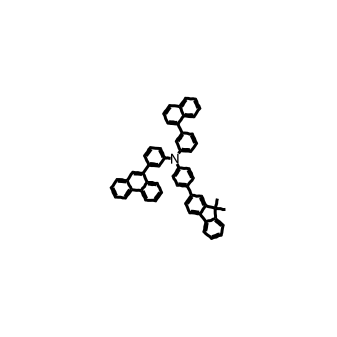 CC1(C)c2ccccc2-c2ccc(-c3ccc(N(c4cccc(-c5cccc6ccccc56)c4)c4cccc(-c5cc6ccccc6c6ccccc56)c4)cc3)cc21